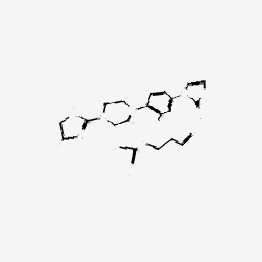 C=CCCNC(C)=O.O=c1occn1-c1ccc(N2CCN(C3=NCCS3)CC2)c(F)c1